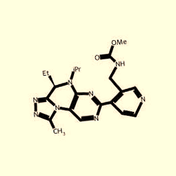 CC[C@@H]1c2nnc(C)n2-c2cnc(-c3ccncc3CNC(=O)OC)nc2N1C(C)C